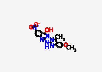 COc1ccc2nc(Nc3nc(O)c4cc([N+](=O)[O-])ccc4n3)nc(C)c2c1